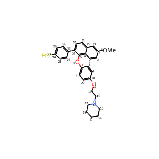 COc1ccc2c(Oc3ccc(OCCN4CCCCC4)cc3)c(-c3ccc(S)cc3)ccc2c1